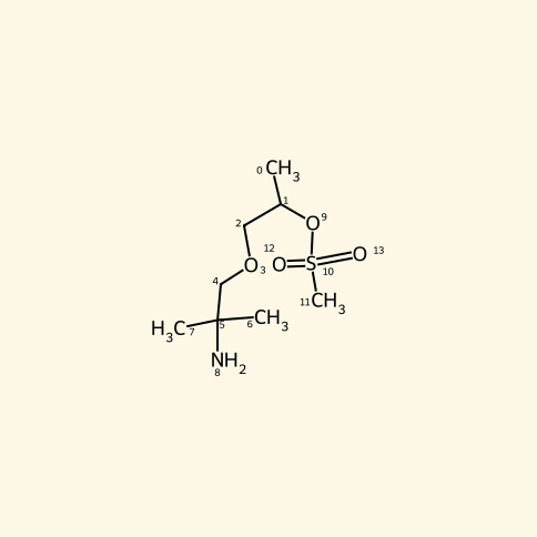 CC(COCC(C)(C)N)OS(C)(=O)=O